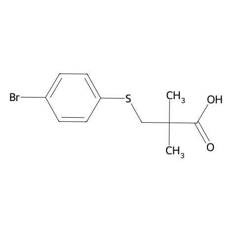 CC(C)(CSc1ccc(Br)cc1)C(=O)O